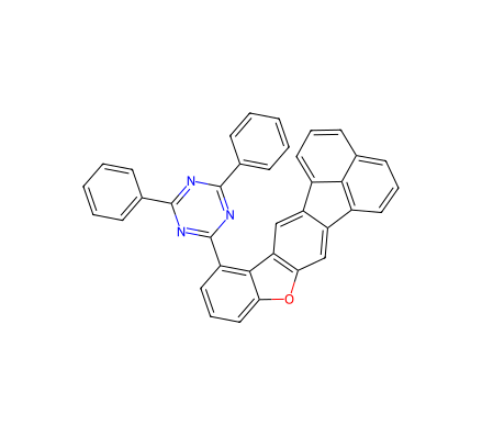 c1ccc(-c2nc(-c3ccccc3)nc(-c3cccc4oc5cc6c(cc5c34)-c3cccc4cccc-6c34)n2)cc1